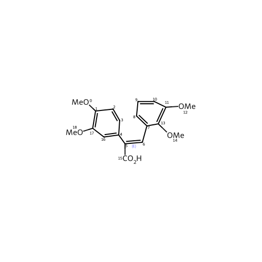 COc1ccc(/C(=C\c2cccc(OC)c2OC)C(=O)O)cc1OC